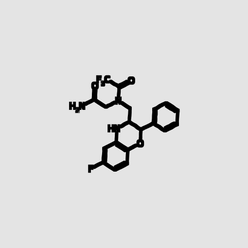 NC(=O)CN(CC1Nc2cc(F)ccc2OC1c1ccccc1)C(=O)C(F)(F)F